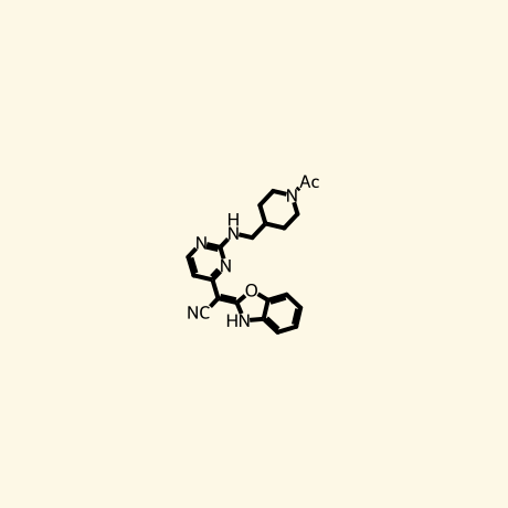 CC(=O)N1CCC(CNc2nccc(/C(C#N)=C3/Nc4ccccc4O3)n2)CC1